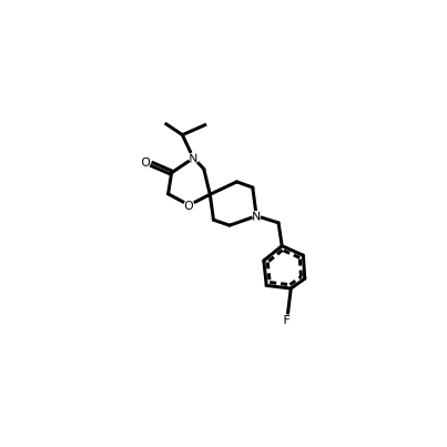 CC(C)N1CC2(CCN(Cc3ccc(F)cc3)CC2)OCC1=O